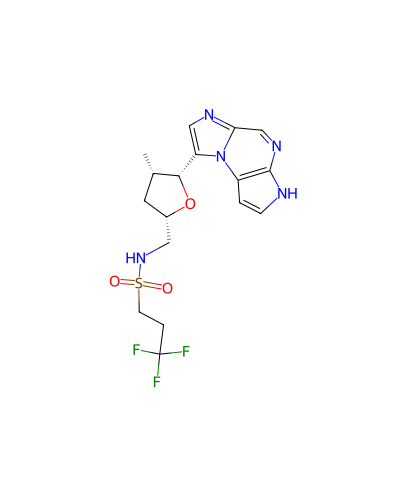 C[C@H]1C[C@@H](CNS(=O)(=O)CCC(F)(F)F)O[C@H]1c1cnc2cnc3[nH]ccc3n12